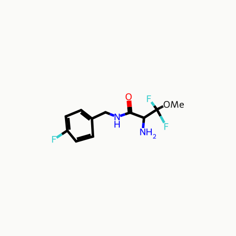 COC(F)(F)C(N)C(=O)NCc1ccc(F)cc1